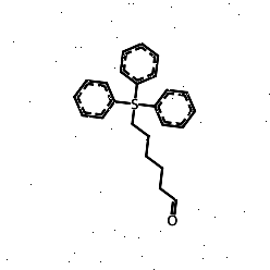 O=CCCCCCS(c1ccccc1)(c1ccccc1)c1ccccc1